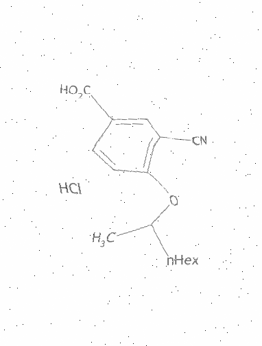 CCCCCCC(C)Oc1ccc(C(=O)O)cc1C#N.Cl